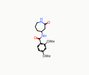 COc1ccc(C(=O)NC2CCCNC(=O)C2)c(OC)c1